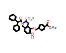 CCOc1ccc2c(c1OCc1ccc(C(=O)OC)cc1)CC(C(=O)O)N(C(=O)C(c1ccccc1)c1ccccc1)C2